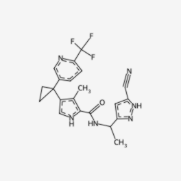 Cc1c(C2(c3ccc(C(F)(F)F)nc3)CC2)c[nH]c1C(=O)NC(C)c1cc(C#N)[nH]n1